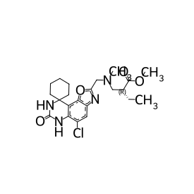 CC[C@H](CN(C)Cc1nc2cc(Cl)c3c(c2o1)C1(CCCCC1)NC(=O)N3)C(=O)OC